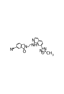 Cc1nc(-c2ccc3ccnc(NCCN4Cc5ccc(C#N)cc5C4=O)c3c2)no1